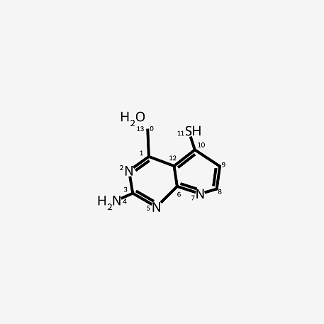 Cc1nc(N)nc2nccc(S)c12.O